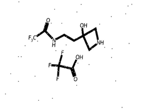 O=C(NCCC1(O)CNC1)C(F)(F)F.O=C(O)C(F)(F)F